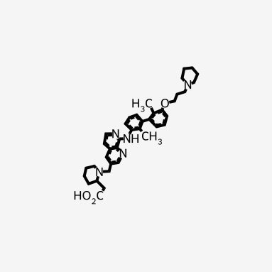 Cc1c(Nc2nccc3cc(CN4CCCCC4CC(=O)O)cnc23)cccc1-c1cccc(OCCCN2CCCCC2)c1C